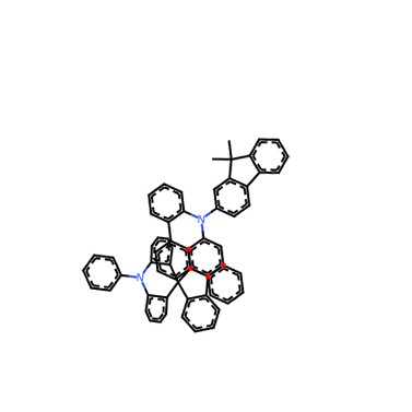 CC1(C)c2ccccc2-c2ccc(N(c3ccc4c(c3)C3(c5ccccc5-4)c4ccccc4N(c4ccccc4)c4ccccc43)c3ccccc3-c3cccc(-c4ccccc4)c3)cc21